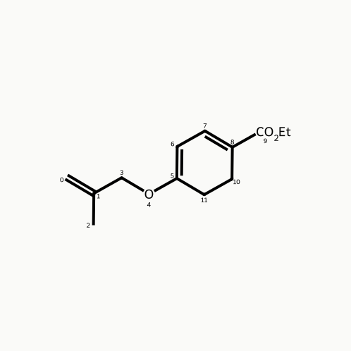 C=C(C)COC1=CC=C(C(=O)OCC)CC1